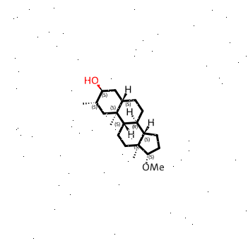 CO[C@H]1CC[C@H]2[C@@H]3CC[C@H]4C[C@H](O)[C@@H](C)C[C@]4(C)[C@H]3CC[C@]12C